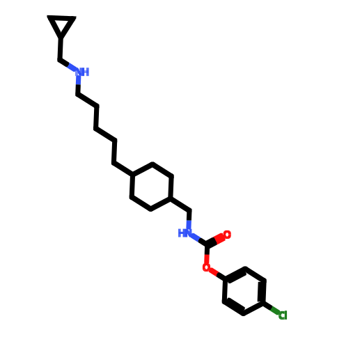 O=C(NCC1CCC(CCCCCNCC2CC2)CC1)Oc1ccc(Cl)cc1